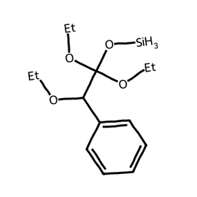 CCOC(c1ccccc1)C(O[SiH3])(OCC)OCC